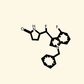 O=C1CCC(C(F)c2cn(Cc3ccccc3)c3cccc(F)c23)N1